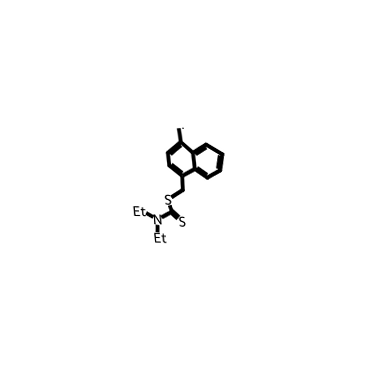 [CH2]c1ccc(CSC(=S)N(CC)CC)c2ccccc12